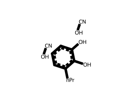 CCCc1cccc(O)c1O.N#CO.N#CO